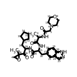 CC(NC(=O)CN1CCOCC1)C(=O)NC(Cc1ccc2[nH]ncc2c1)C(=O)NC(CC1CCCC1)C(=O)C1(C)CO1